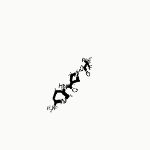 Nc1ccc(NC(=O)C2CN(OC(=O)C(F)(F)F)C2)cn1